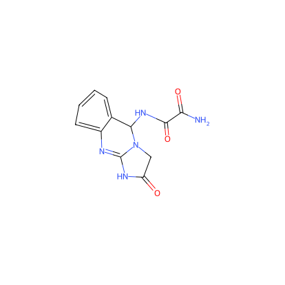 NC(=O)C(=O)NC1c2ccccc2N=C2NC(=O)CN21